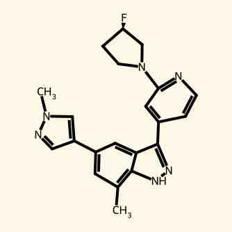 Cc1cc(-c2cnn(C)c2)cc2c(-c3ccnc(N4CC[C@@H](F)C4)c3)n[nH]c12